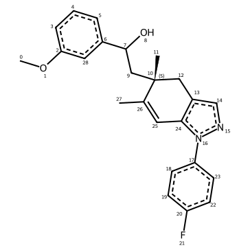 COc1cccc(C(O)C[C@]2(C)Cc3cnn(-c4ccc(F)cc4)c3C=C2C)c1